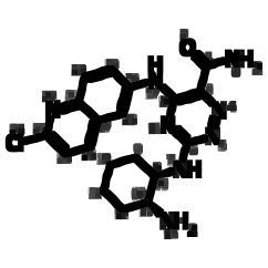 NC(=O)c1nnc(N[C@@H]2CCCC[C@@H]2N)nc1Nc1ccc2nc(Cl)ccc2c1